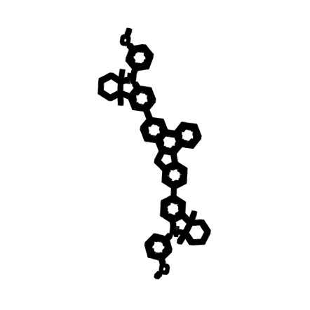 COc1cccc(N2c3ccc(-c4ccc5c(c4)Cc4c-5c5ccccc5c5cc(-c6ccc7c(c6)C6(C)CCCCC6(C)N7c6cccc(OC)c6)ccc45)cc3C3(C)CCCCC23C)c1